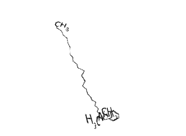 CCCCCCCCCCCCCCCCCCCCCCCC[N+](C)(C)Cc1ccccc1